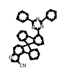 N#Cc1coc2ccc3c(c12)-c1ccccc1C31c2ccccc2-c2c(-c3nc(-c4ccccc4)nc(-c4ccccc4)n3)cccc21